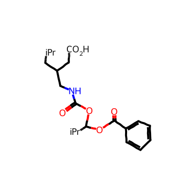 CC(C)CC(CNC(=O)OC(OC(=O)c1ccccc1)C(C)C)CC(=O)O